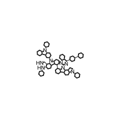 N=Cc1c(Nc2ccccc2)ccc2c3c(-c4cccc5c6ccc7c(ccn7-c7ccccc7)c6n(-c6nc(-c7ccc(-c8ccccc8)cc7)c7ccccc7n6)c45)cccc3n(-c3ccc4c(c3)c3ccccc3n4-c3ccccc3)c12